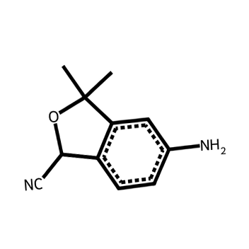 CC1(C)OC(C#N)c2ccc(N)cc21